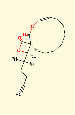 [2H]C([2H])(CCC#C)[C@@]1([2H])OC(=O)[C@]12CCCCCCC/C=C\OC2=O